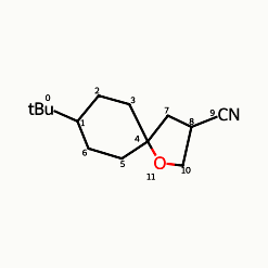 CC(C)(C)C1CCC2(CC1)CC(C#N)CO2